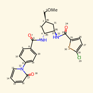 COC[C@@H]1C[C@@H](NC(=O)c2ccc(-n3ccccc3=O)cc2)[C@H](NC(=O)c2ccc(Cl)s2)C1